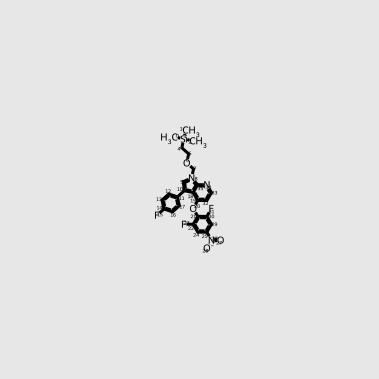 C[Si](C)(C)CCOCn1cc(-c2ccc(F)cc2)c2c(Oc3c(F)cc([N+](=O)[O-])cc3F)ccnc21